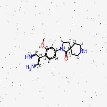 COc1cc(N2CCC3(CCNCC3)C2=O)ccc1/C(C=N)=C/N